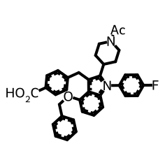 CC(=O)N1CCC(c2c(Cc3ccc(C(=O)O)cc3)c3c(OCc4ccccc4)cccc3n2-c2ccc(F)cc2)CC1